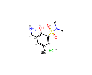 CN(C)S(=O)(=O)c1cc(C(C)(C)C)cc(CN)c1O.Cl